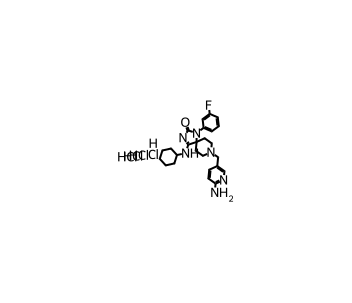 Cl.Cl.Cl.Cl.Nc1ccc(CN2CCC3(CC2)C(NC2CCCCC2)=NC(=O)N3c2cccc(F)c2)cn1